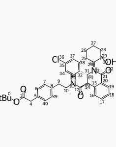 CC(C)(C)OC(=O)Cc1ccc(CCNC(=O)[C@@H]2c3ccccc3C(=O)N([C@H]3CCCC[C@@H]3O)[C@H]2c2ccc(Cl)cc2)cc1